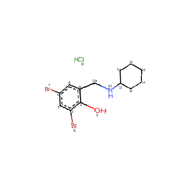 Cl.Oc1c(Br)cc(Br)cc1CNC1CCCCC1